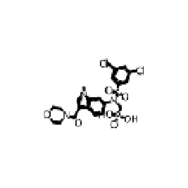 Cn1cc(C(=O)N2CCOCC2)c2ccc(N(CP(=O)(O)O)S(=O)(=O)c3cc(Cl)cc(Cl)c3)cc21